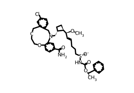 CO[C@@H](/C=C/CCC[S@@+]([O-])NC(=O)O[C@@H](C)c1ccccc1)[C@@H]1CC[C@H]1CN1Cc2ccc(Cl)cc2CCCCOc2ccc(C(N)=O)cc21